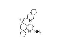 CC1CN2CCCC2CN1c1nc(N)nc2c1CCCC21CCCC1